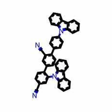 N#Cc1ccc(-c2ccc(-c3ccc(-n4c5ccccc5c5ccccc54)cc3)c(C#N)c2)c(-n2c3ccccc3c3ccccc32)c1